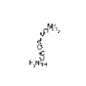 N=C(N)c1ccc(OCCCOc2ccc(-c3cc4cc(C(=N)N)ccc4o3)cc2)cc1